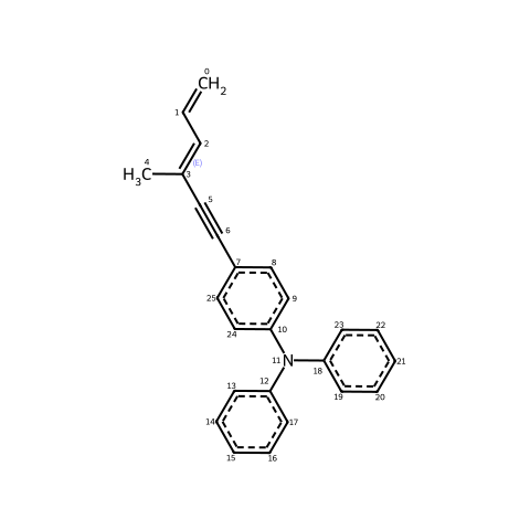 C=C/C=C(\C)C#Cc1ccc(N(c2ccccc2)c2ccccc2)cc1